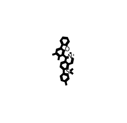 Cc1ccc2c(c1)[Si](C)(C)c1c-2ccc2c(-c3c(C)c(C)cc4c3oc3ccccc34)[n+](C)ccc12